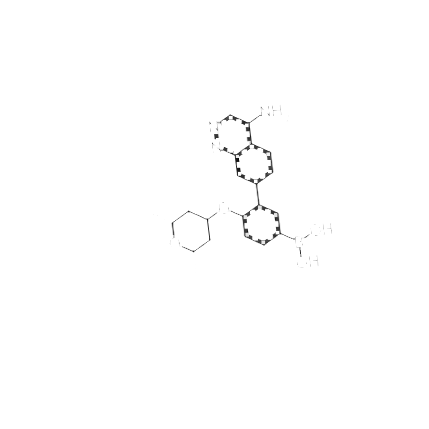 C[C@@H]1CC(Oc2ccc(B(O)O)cc2-c2ccc3c(N)cnnc3c2)C[C@H](C)O1